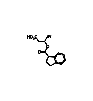 CC(C)C(CC(=O)O)OC(=O)C1CCc2ccccc21